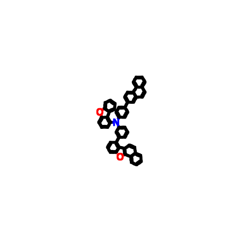 c1cc(-c2cccc3oc4c5ccccc5ccc4c23)cc(N(c2ccc(-c3ccc4c(ccc5ccccc54)c3)cc2)c2cccc3oc4ccccc4c23)c1